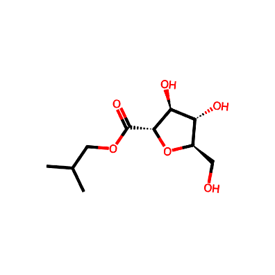 CC(C)COC(=O)[C@H]1O[C@H](CO)[C@@H](O)[C@@H]1O